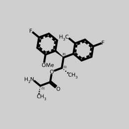 COc1cc(F)ccc1[C@@H](c1ccc(F)cc1C)[C@H](C)OC(=O)[C@H](C)N